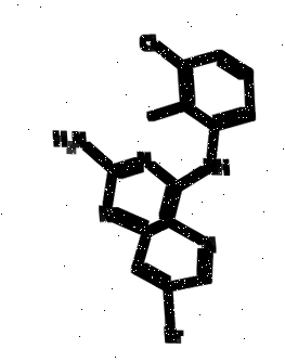 Cc1c(Cl)cccc1Nc1nc(N)nc2cc(Br)cnc12